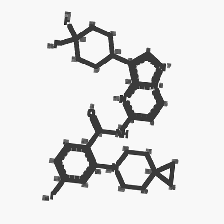 O=C(Nc1ccn2ncc(C3CCC(F)(F)CC3)c2n1)c1ccc(I)cc1N1CCC2(CC1)CC2